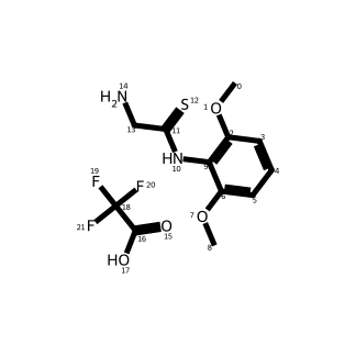 COc1cccc(OC)c1NC(=S)CN.O=C(O)C(F)(F)F